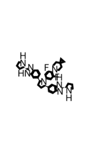 Fc1cc(N2[C@@H](c3ccc4nc([C@@H]5CCCN5)[nH]c4c3)CC[C@H]2c2ccc3nc([C@@H]4CCCN4)[nH]c3c2)cc(F)c1N1CCC2(CC1)CC2